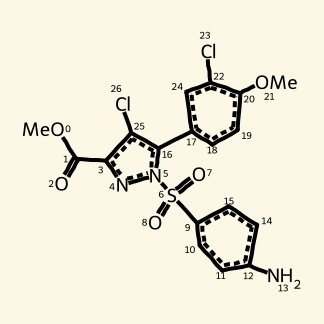 COC(=O)c1nn(S(=O)(=O)c2ccc(N)cc2)c(-c2ccc(OC)c(Cl)c2)c1Cl